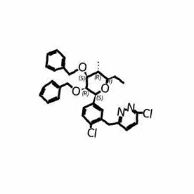 CC[C@H]1O[C@@H](c2ccc(Cl)c(Cc3ccc(Cl)nn3)c2)[C@H](OCc2ccccc2)[C@@H](OCc2ccccc2)[C@@H]1C